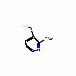 COc1ncccc1BO